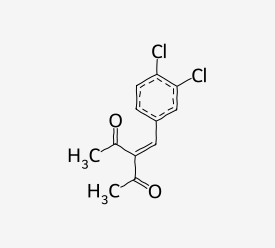 CC(=O)C(=Cc1ccc(Cl)c(Cl)c1)C(C)=O